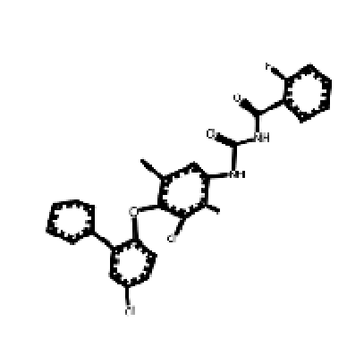 Cc1cc(NC(=O)NC(=O)c2ccccc2F)c(C)c(Cl)c1Oc1ccc(Cl)cc1-c1ccccc1